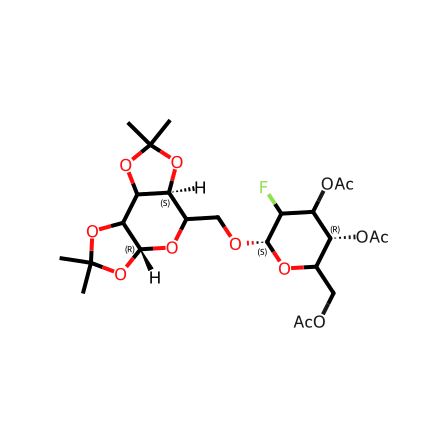 CC(=O)OCC1O[C@H](OCC2O[C@@H]3OC(C)(C)OC3C3OC(C)(C)O[C@@H]23)C(F)C(OC(C)=O)[C@@H]1OC(C)=O